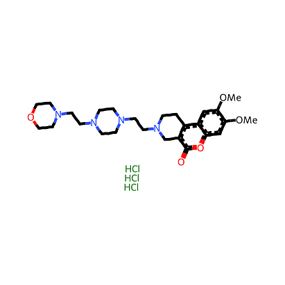 COc1cc2oc(=O)c3c(c2cc1OC)CCN(CCN1CCN(CCN2CCOCC2)CC1)C3.Cl.Cl.Cl